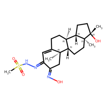 C[C@]12CC(=NO)C(=NNS(C)(=O)=O)C=C1CC[C@@H]1[C@@H]2CC[C@@]2(C)[C@H]1CC[C@]2(C)O